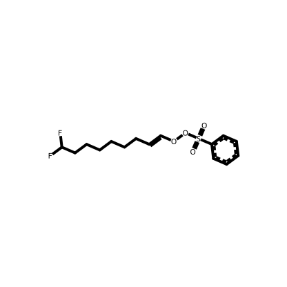 O=S(=O)(OOC=CCCCCCCC(F)F)c1ccccc1